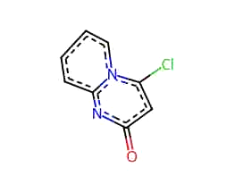 O=c1cc(Cl)n2ccccc2n1